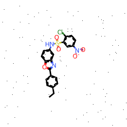 CCc1ccc(-c2nc3cc(NS(=O)(=O)c4cc([N+](=O)[O-])ccc4Cl)ccc3o2)cc1